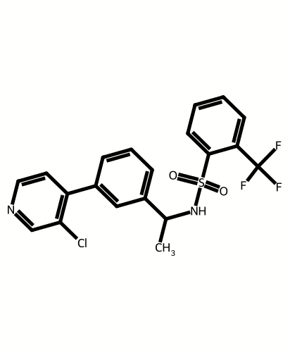 CC(NS(=O)(=O)c1ccccc1C(F)(F)F)c1cccc(-c2ccncc2Cl)c1